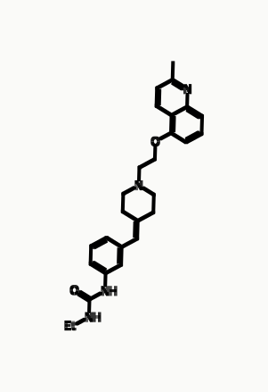 CCNC(=O)Nc1cccc(C=C2CCN(CCOc3cccc4nc(C)ccc34)CC2)c1